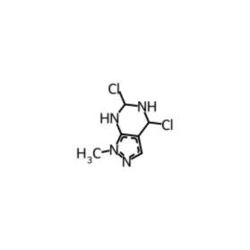 Cn1ncc2c1NC(Cl)NC2Cl